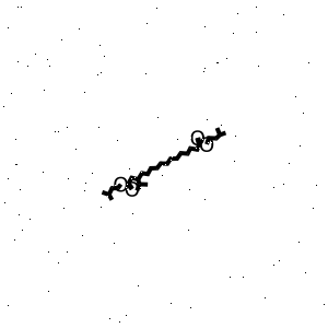 CC(C)CCOC(=O)CCCCCCCCCCCCC(CC(=O)OCCC(C)C)C(C)C